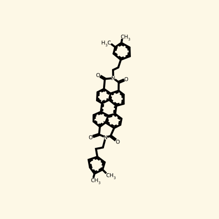 Cc1ccc(CCN2C(=O)c3ccc4c5ccc6c7c(ccc(c8ccc(c3c48)C2=O)c75)C(=O)N(CCc2ccc(C)c(C)c2)C6=O)cc1C